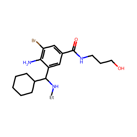 CCNC(c1cc(C(=O)NCCCO)cc(Br)c1N)C1CCCCC1